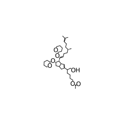 CC(=O)OCCCCC(CO)C1=CC2C(C1)C[C@H](OC1CCCCO1)[C@H]2C(=CCC[C@H](C)CCC=C(C)C)OC1CCCCO1